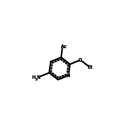 CCOc1ncc(N)cc1C(C)=O